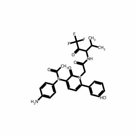 CC(=O)N(c1ccc(N)cc1)c1ccc(-c2ccccc2)n(CC(=O)NC(C(=O)C(F)(F)F)C(C)C)c1=O.Cl